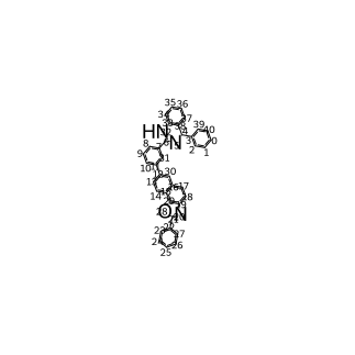 c1ccc(C2=NC(c3cccc(-c4ccc5c(ccc6nc(-c7ccccc7)oc65)c4)c3)Nc3ccccc32)cc1